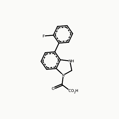 O=C(O)C(=O)N1CNc2c(-c3ccccc3F)cccc21